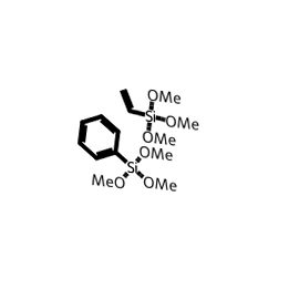 C=C[Si](OC)(OC)OC.CO[Si](OC)(OC)c1ccccc1